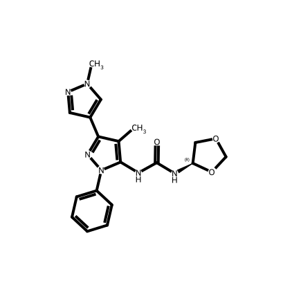 Cc1c(-c2cnn(C)c2)nn(-c2ccccc2)c1NC(=O)N[C@H]1COCO1